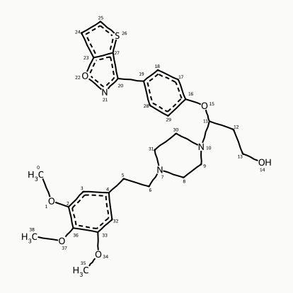 COc1cc(CCN2CCN(C(CCO)Oc3ccc(-c4noc5ccsc45)cc3)CC2)cc(OC)c1OC